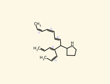 C=C/C=C(\C=C/C)C(/C=C/C=C\C=C/C)C1CCCN1